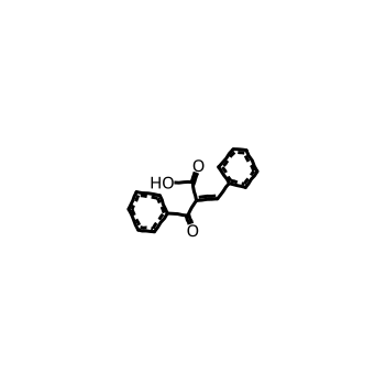 O=C(O)C(=Cc1ccccc1)C(=O)c1ccccc1